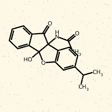 CC(=O)NC12C(=O)c3ccccc3C1(O)Oc1cc(C(C)C)ccc12